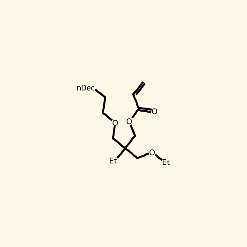 C=CC(=O)OCC(CC)(COCC)COCCCCCCCCCCCC